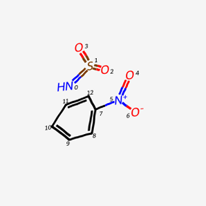 N=S(=O)=O.O=[N+]([O-])c1ccccc1